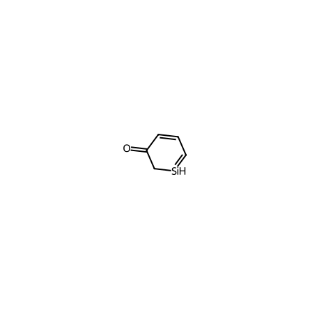 O=C1C=CC=[SiH]C1